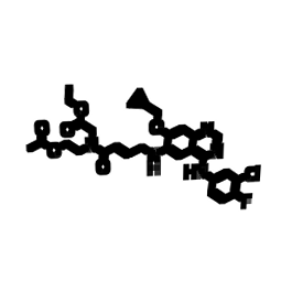 CCOC(=O)CN(CCOC(C)=O)C(=O)C=CCNc1cc2c(Nc3ccc(F)c(Cl)c3)ncnc2cc1OCC1CC1